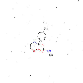 CC(C)(C)NC(=O)OC1(c2ccc(C(F)(F)F)cc2)NC=COC1=O